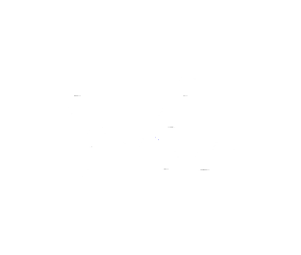 c1ccc(-c2ccc(N(c3ccc(-c4cc(-c5ccccc5)cc(-c5ccccc5)c4)cc3)c3cccc(-c4ccc5ccccc5c4)c3)cc2)cc1